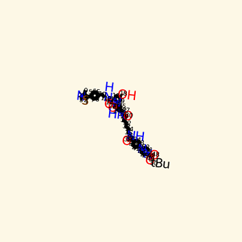 Cc1ncsc1-c1ccc(CCNC(=O)[C@@H]2C[C@@H](O)CN2C(=O)C(C)(C)[C@H](C)NC(=O)CCCCCNC(=O)c2ccc(N3CCN(C(=O)OC(C)(C)C)CC3)cc2)cc1